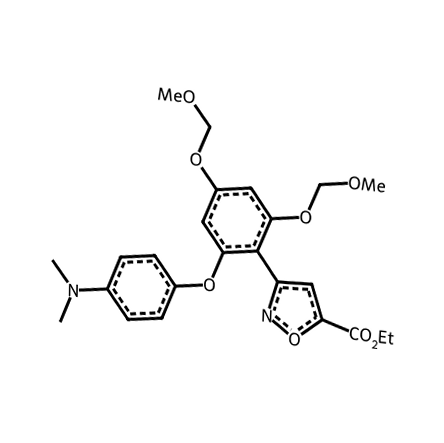 CCOC(=O)c1cc(-c2c(OCOC)cc(OCOC)cc2Oc2ccc(N(C)C)cc2)no1